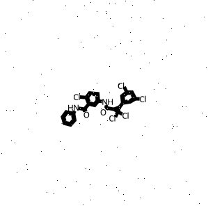 O=C(Nc1cc[c]cc1)c1cc(NC(=O)C2C(c3cc(Cl)cc(Cl)c3)C2(Cl)Cl)ccc1Cl